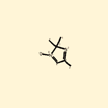 CC1=NC(C)(C)[N+]([O-])=C1